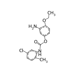 CCOc1ccc(OC(=O)Nc2cc(Cl)ccc2C)cc1N